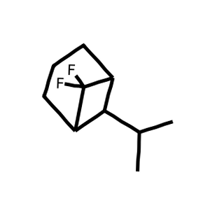 CC(C)C1C2CCCC1C2(F)F